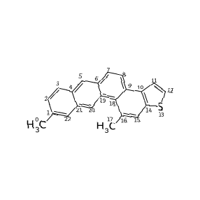 Cc1ccc2cc3ccc4c5ccsc5cc(C)c4c3cc2c1